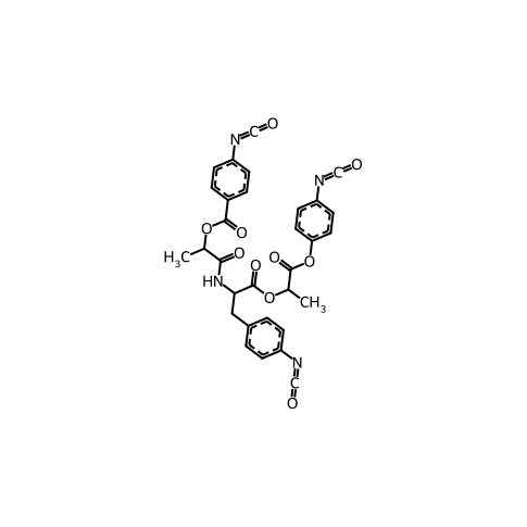 CC(OC(=O)c1ccc(N=C=O)cc1)C(=O)NC(Cc1ccc(N=C=O)cc1)C(=O)OC(C)C(=O)Oc1ccc(N=C=O)cc1